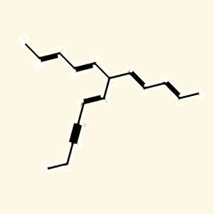 [CH2]/C=C/C=C/C(/C=C/C#CCC)/C=C/C=C/C